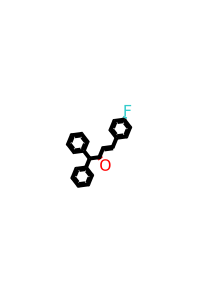 O=C(/C=C/c1ccc(F)cc1)C(c1ccccc1)c1ccccc1